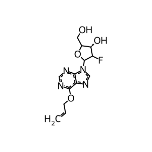 C=CCOc1ncnc2c1ncn2C1OC(CO)[C@@H](O)C1F